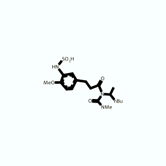 CCCCC(C)N(C(=O)CCc1ccc(OC)c(NS(=O)(=O)O)c1)C(=O)NC